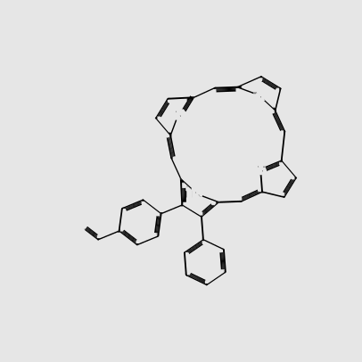 C=Cc1ccc(-c2c(-c3ccccc3)c3cc4nc(cc5ccc(cc6nc(cc2[nH]3)C=C6)[nH]5)C=C4)cc1